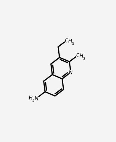 CCc1cc2cc(N)ccc2nc1C